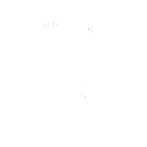 Cc1c(N)ncc2ccn(C)c12